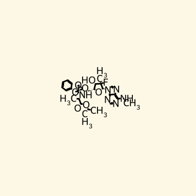 CNc1ncnc2c1ncn2[C@@H]1O[C@H](CO[P@](=O)(NC(C)C(=O)OC(C)C)Oc2ccccc2)[C@@H](O)[C@@]1(C)F